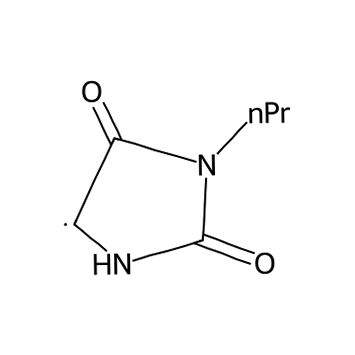 CCCN1C(=O)[CH]NC1=O